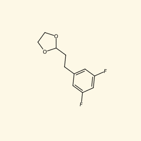 Fc1cc(F)cc(CCC2OCCO2)c1